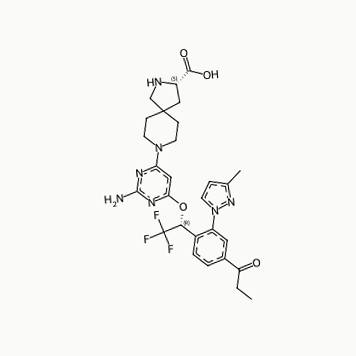 CCC(=O)c1ccc([C@@H](Oc2cc(N3CCC4(CC3)CN[C@H](C(=O)O)C4)nc(N)n2)C(F)(F)F)c(-n2ccc(C)n2)c1